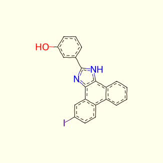 Oc1cccc(-c2nc3c4cc(I)ccc4c4ccccc4c3[nH]2)c1